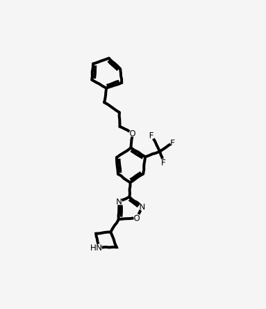 FC(F)(F)c1cc(-c2noc(C3CNC3)n2)ccc1OCCCc1ccccc1